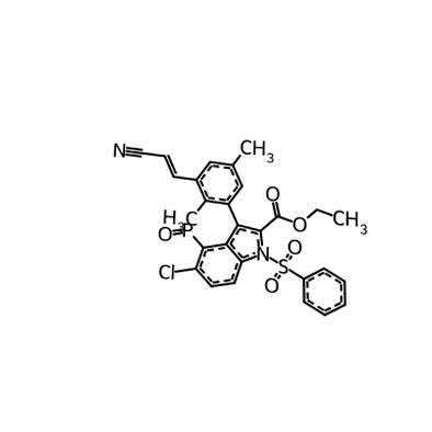 CCOC(=O)c1c(-c2cc(C)cc(C=CC#N)c2C)c2c(P=O)c(Cl)ccc2n1S(=O)(=O)c1ccccc1